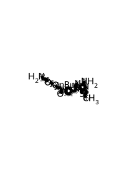 CCCCc1nc2c(N)nc3cc(C)sc3c2n1CC1CCN(C(=O)CCOCCOCCN)CC1